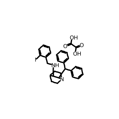 Ic1ccccc1CNC1C2CCN(CC2)C1C(c1ccccc1)c1ccccc1.O=C(O)C(=O)O